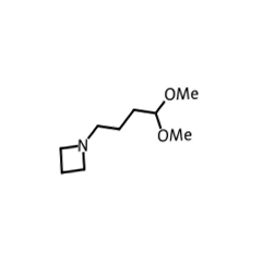 COC(CCCN1CCC1)OC